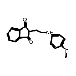 COc1ccc(NCCC2C(=O)c3ccccc3C2=O)cc1